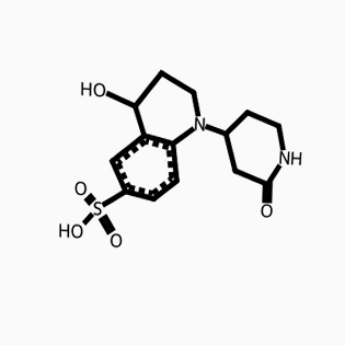 O=C1CC(N2CCC(O)c3cc(S(=O)(=O)O)ccc32)CCN1